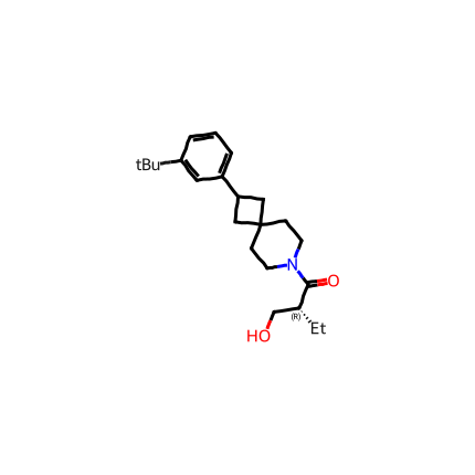 CC[C@H](CO)C(=O)N1CCC2(CC1)CC(c1cccc(C(C)(C)C)c1)C2